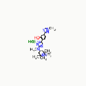 CN(c1ncc(-c2ccc(-c3ncn(C)n3)cc2O)nn1)C1CC(C)(C)NC(C)(C)C1.Cl.Cl